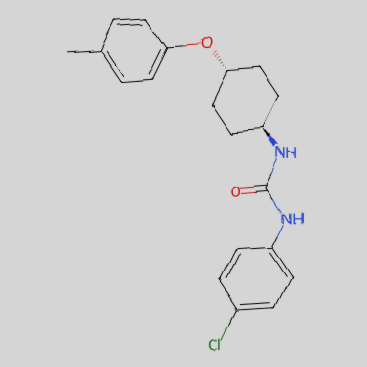 Cc1ccc(O[C@H]2CC[C@H](NC(=O)Nc3ccc(Cl)cc3)CC2)cc1